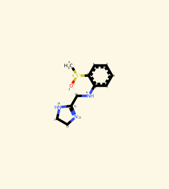 C[S+]([O-])c1ccccc1NCC1=NCCN1